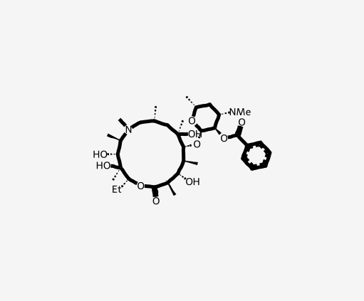 CC[C@H]1OC(=O)[C@H](C)[C@@H](O)[C@H](C)[C@@H](O[C@@H]2O[C@H](C)C[C@H](NC)[C@H]2OC(=O)c2ccccc2)[C@](C)(O)C[C@@H](C)CN(C)[C@H](C)[C@@H](O)[C@]1(C)O